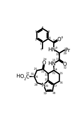 Cc1ccccc1C(=O)NC(C(=O)N[C@H]1CCc2ccn3c2C1C(=O)C[C@H](C(=O)O)C3)C(C)C